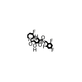 O=C(NCc1c(F)cc(F)cc1F)c1cn2c(c(O)c1=O)C(=O)N1CCC=C(F)[C@H]2C1